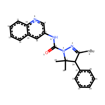 CCCCC1=NN(C(=O)Nc2cnc3ccccc3c2)C(C)(C)C1c1ccccc1